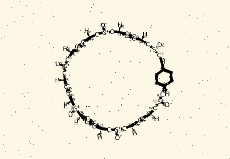 [O-][S+]1C[C@H]2CC[C@H](CC2)C[S+]([O-])C[C@H]2CC[C@H](CC2)C[S+]([O-])C[C@H]2CC[C@H](CC2)[S@+]([O-])[C@@H]2CC[C@@H](CC2)C[S+]([O-])C[C@@H]2CC[C@@H](CC2)C[S+]([O-])C[C@@H]2CC[C@@H](CC2)C1